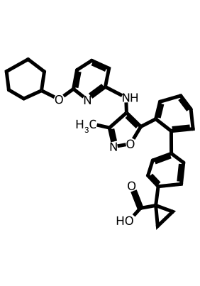 Cc1noc(-c2ccccc2-c2ccc(C3(C(=O)O)CC3)cc2)c1Nc1cccc(OC2CCCCC2)n1